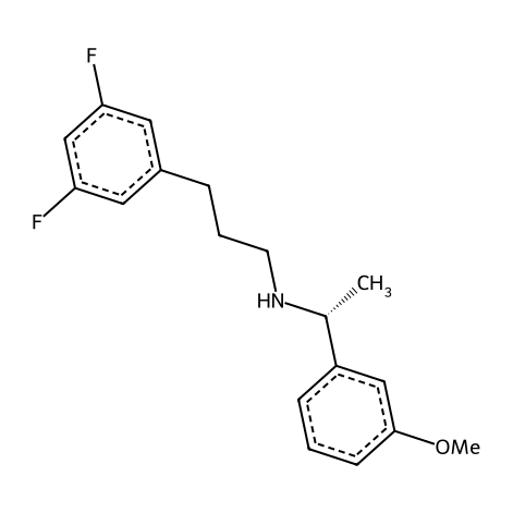 COc1cccc([C@@H](C)NCCCc2cc(F)cc(F)c2)c1